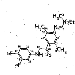 CCN(C)C=Nc1cc(C)c(C(=S)CNc2ccc(F)c(F)c2)cc1C